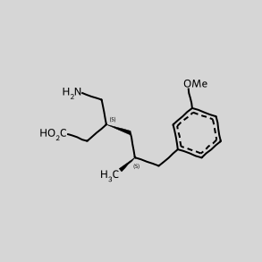 COc1cccc(C[C@@H](C)C[C@H](CN)CC(=O)O)c1